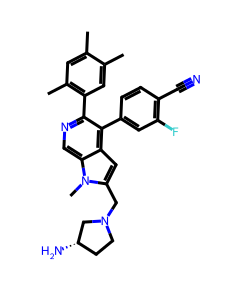 Cc1cc(C)c(-c2ncc3c(cc(CN4CC[C@H](N)C4)n3C)c2-c2ccc(C#N)c(F)c2)cc1C